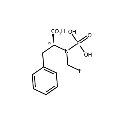 O=C(O)[C@H](Cc1ccccc1)N(CF)P(=O)(O)O